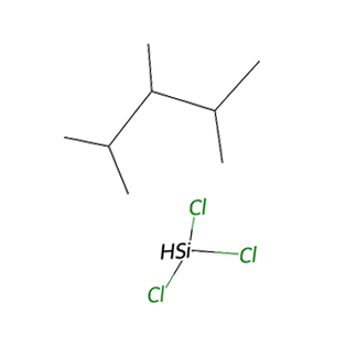 CC(C)C(C)C(C)C.Cl[SiH](Cl)Cl